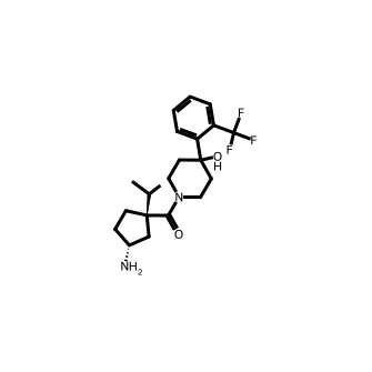 CC(C)[C@]1(C(=O)N2CCC(O)(c3ccccc3C(F)(F)F)CC2)CC[C@@H](N)C1